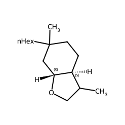 CCCCCCC1(C)CC[C@H]2C(C)CO[C@@H]2C1